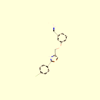 O/N=C/c1cccc(OCc2csc(-c3ccc(Cl)cc3)n2)c1